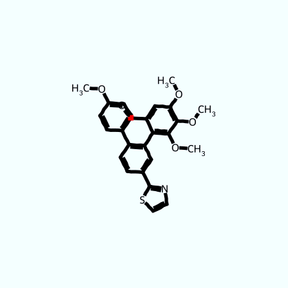 COc1ccc(-c2ccc(-c3nccs3)cc2-c2c(C=O)cc(OC)c(OC)c2OC)cc1